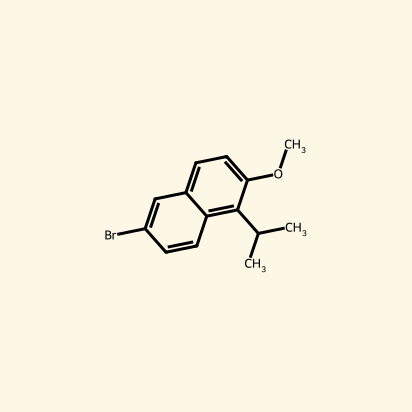 COc1ccc2cc(Br)ccc2c1C(C)C